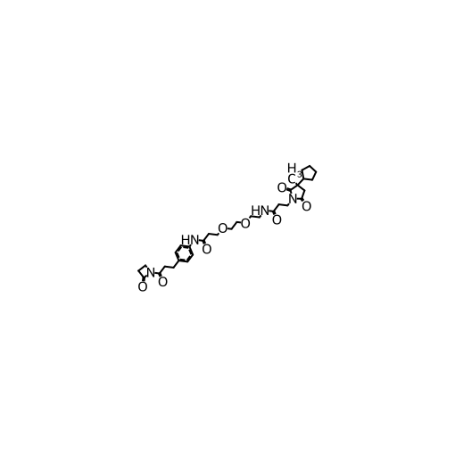 CC1(C2CCCC2)CC(=O)N(CCC(=O)NCCOCCOCCC(=O)Nc2ccc(CCC(=O)N3CCC3=O)cc2)C1=O